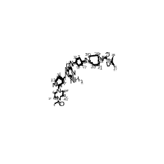 CC(=O)N1[C@H](C)CN(c2cc(-n3nc(Nc4ccc(N5CCN(C(=O)OC(C)C)CC5)cc4)nc3N)ccn2)C[C@@H]1C